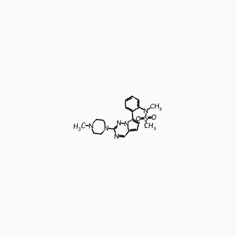 CN1CCN(c2ncc3ccc(-c4ccccc4N(C)S(C)(=O)=O)n3n2)CC1